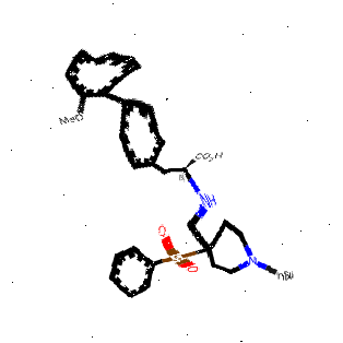 CCCCN1CCC(CN[C@@H](Cc2ccc(-c3ccccc3OC)cc2)C(=O)O)(S(=O)(=O)c2ccccc2)CC1